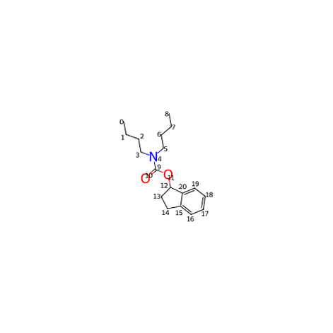 CCCCN(CCCC)C(=O)OC1CCc2ccccc21